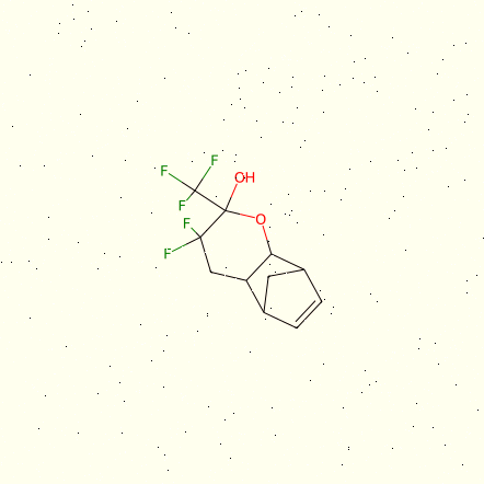 OC1(C(F)(F)F)OC2C3C=CC(C3)C2CC1(F)F